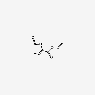 C=COC(=O)C(=CC)O[C]=O